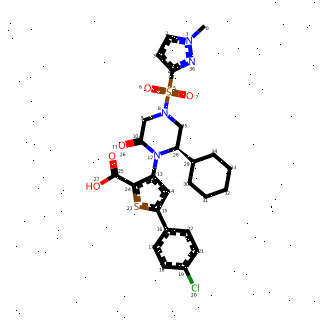 Cn1ccc(S(=O)(=O)N2CC(=O)N(c3cc(-c4ccc(Cl)cc4)sc3C(=O)O)[C@H](C3CCCCC3)C2)n1